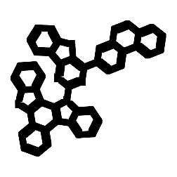 c1ccc2c(c1)ccc1cc(-c3nc(-n4c5ccccc5c5c6ccccc6c6sc7ccccc7c6c54)nc4c3sc3ccccc34)ccc12